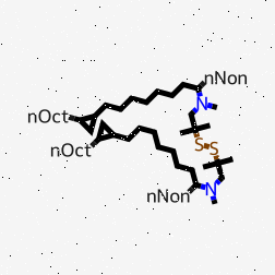 CCCCCCCCCC(CCCCCCCC1CC1CCCCCCCC)N(C)CC(C)(C)SSC(C)(C)CN(C)C(CCCCCCCCC)CCCCCCCC1CC1CCCCCCCC